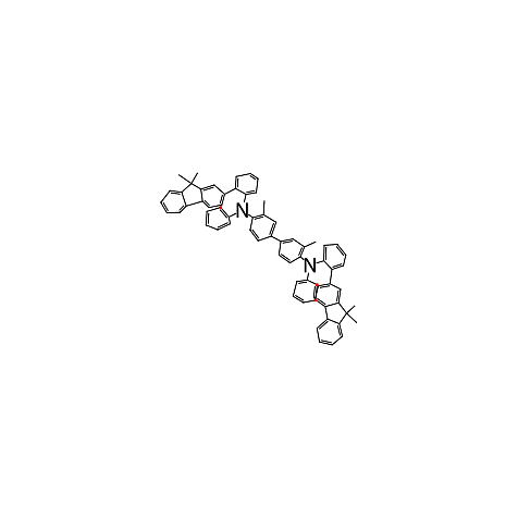 Cc1cc(-c2ccc(N(c3ccccc3)c3ccccc3-c3ccc4c(c3)C(C)(C)c3ccccc3-4)c(C)c2)ccc1N(c1ccccc1)c1ccccc1-c1ccc2c(c1)C(C)(C)c1ccccc1-2